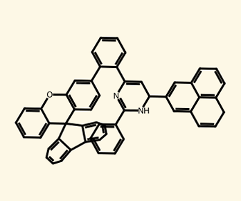 C1=Cc2cc(C3C=C(c4ccccc4-c4ccc5c(c4)Oc4ccccc4C54c5ccccc5-c5ccccc54)N=C(c4ccccc4)N3)cc3cccc(c23)C1